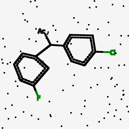 CC(=O)C(c1ccc(Cl)cc1)c1cccc(F)c1